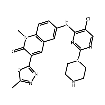 Cc1nnc(-c2cc3cc(Nc4nc(N5CCNCC5)ncc4Cl)ccc3n(C)c2=O)o1